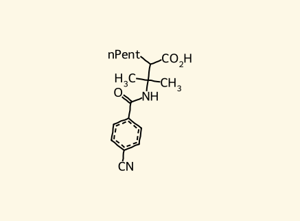 CCCCCC(C(=O)O)C(C)(C)NC(=O)c1ccc(C#N)cc1